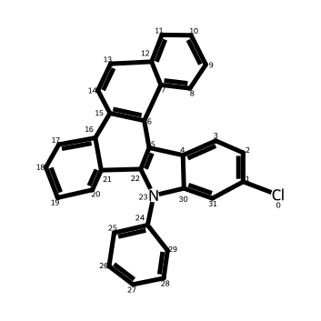 Clc1ccc2c3c4c5ccccc5ccc4c4ccccc4c3n(-c3ccccc3)c2c1